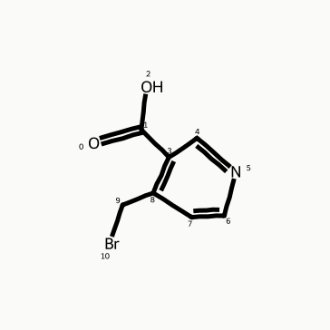 O=C(O)c1cnccc1CBr